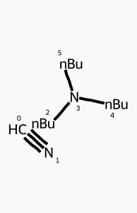 C#N.CCCCN(CCCC)CCCC